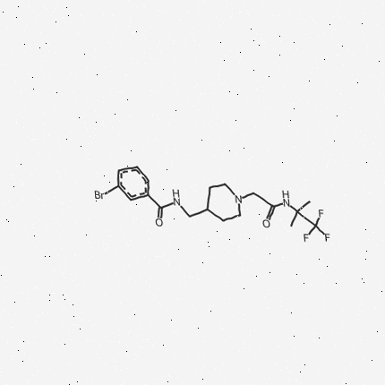 CC(C)(NC(=O)CN1CCC(CNC(=O)c2cccc(Br)c2)CC1)C(F)(F)F